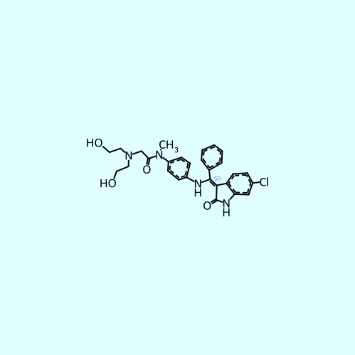 CN(C(=O)CN(CCO)CCO)c1ccc(N/C(=C2\C(=O)Nc3cc(Cl)ccc32)c2ccccc2)cc1